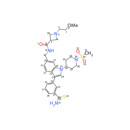 COCCN1CC(C(=O)NCc2ccc3c(-c4cccc(C(N)=S)c4)cn(C4CCN(S(C)(=O)=O)CC4)c3c2)C1